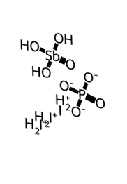 O=P([O-])([O-])[O-].[IH2+].[IH2+].[IH2+].[O]=[Sb]([OH])([OH])[OH]